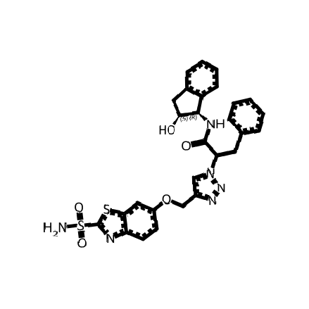 NS(=O)(=O)c1nc2ccc(OCc3cn(C(Cc4ccccc4)C(=O)N[C@@H]4c5ccccc5C[C@@H]4O)nn3)cc2s1